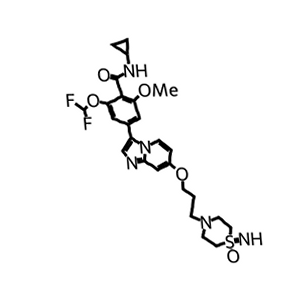 COc1cc(-c2cnc3cc(OCCCN4CCS(=N)(=O)CC4)ccn23)cc(OC(F)F)c1C(=O)NC1CC1